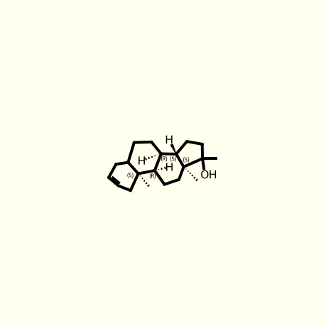 CC1(O)CC[C@H]2[C@@H]3CCC4CC=CC[C@]4(C)[C@@H]3CC[C@@]21C